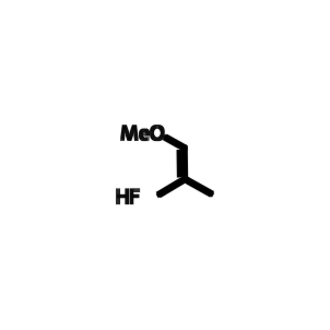 COC=C(C)C.F